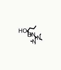 CCCC(=O)O.CN(C)C(=N)N(C)C